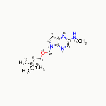 CNc1cnc2c(ccn2COCC[Si](C)(C)C)n1